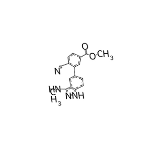 CNc1n[nH]c2ccc(-c3cc(C(=O)OC)ccc3C#N)cc12